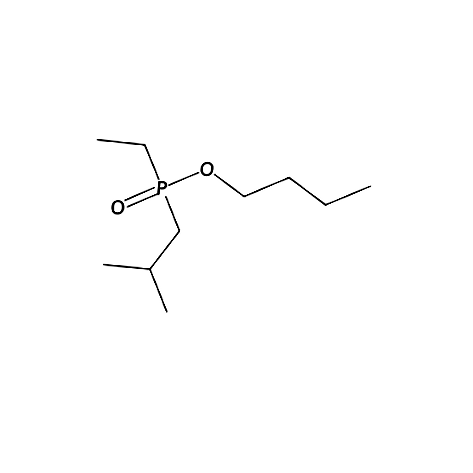 CCCCOP(=O)(CC)CC(C)C